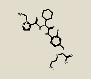 CCCN[C@H](Cc1ccc(NC(=O)[C@@H](NC(=O)c2ccnn2CC)C2CCCCC2)c(F)c1)C(=O)O